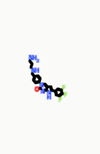 NCCCNCc1ccc(-n2cc3cc(-c4cc(F)c(F)c(F)c4)[nH]c3nc2=O)cc1